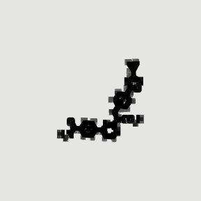 NC(=O)C12CCC(c3ccnc(N(CC45CCC(c6nc(C7CC7)no6)(CC4)CC5)C(=O)O)n3)(CC1)CC2